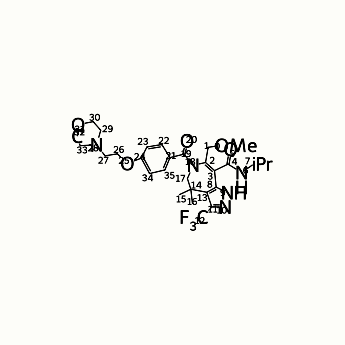 COCC1=C(C(=O)NC(C)C)c2[nH]nc(C(F)(F)F)c2C(C)(C)CN1C(=O)c1ccc(OCCN2CCOCC2)cc1